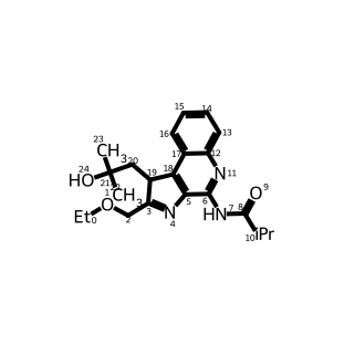 CCOCC1=Nc2c(NC(=O)C(C)C)nc3ccccc3c2C1CC(C)(C)O